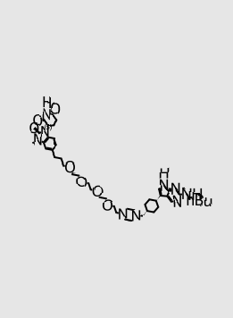 CCCCNc1ncc2c(n1)[nH]cc2[C@H]1CC[C@@H](CN2CCN(CCOCCOCCOCCOCCCc3ccc4c(c3)n(C)c(=O)n4[C@H]3CCC(=O)NC3=O)CC2)CC1